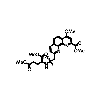 CCCC(C)(Cc1ccc2ccc3c(OC)cc(C(=O)OC)nc3c2n1)NC(CCC(=O)OC)C(=O)OC